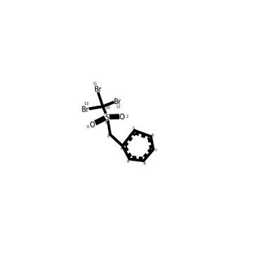 O=S(=O)(Cc1ccccc1)C(Br)(Br)Br